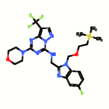 CS(C)(C)CCOCn1c(CNc2nc(N3CCOCC3)nc3c(C(F)(F)F)cnn23)nc2cc(F)ccc21